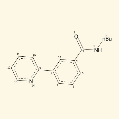 CCCCNC(=O)c1cccc(-c2ccccn2)c1